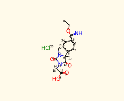 CCOC(=N)c1ccc(C2(C)C(=O)N(C(C)C(=O)O)C(=O)N2C)cc1.Cl